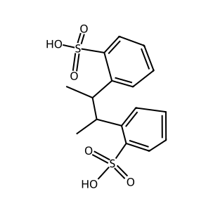 CC(c1ccccc1S(=O)(=O)O)C(C)c1ccccc1S(=O)(=O)O